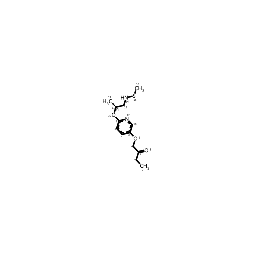 CCC(=O)COc1ccc(O[C@@H](C)CNSC)nc1